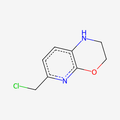 ClCc1ccc2c(n1)OCCN2